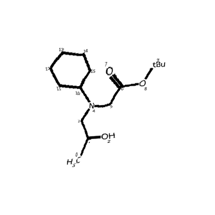 CC(O)CN(CC(=O)OC(C)(C)C)C1CCCCC1